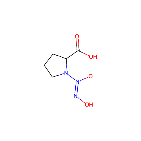 O=C(O)C1CCCN1/[N+]([O-])=N/O